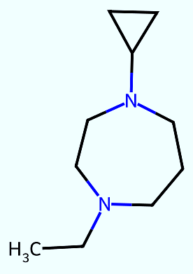 CCN1CCCN(C2CC2)CC1